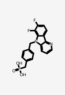 O=P(O)(O)Cc1ccc(Cn2c3cccnc3c3ccc(F)c(F)c32)cc1